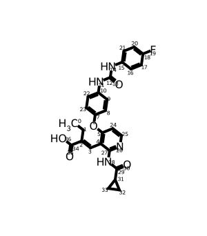 CCC(=Cc1c(Oc2ccc(NC(=O)Nc3ccc(F)cc3)cc2)ccnc1NC(=O)C1CC1)C(=O)O